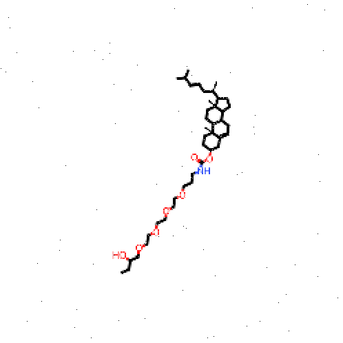 CCC(O)COCCOCCOCCOCCCNC(=O)O[C@H]1CC[C@@]2(C)C(=CCC3C4CCC([C@H](C)CCCC(C)C)[C@@]4(C)CCC32)C1